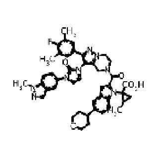 Cc1cc(-c2nn3c(c2-n2ccn(-c4ccc5c(cnn5C)c4)c2=O)CN(C(=O)c2cc4cc(C5CCOCC5)ccc4n2C2(C(=O)O)CC2C)CC3)cc(C)c1F